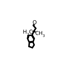 CC(C)(CC=O)c1ccc2c(c1)CCC2